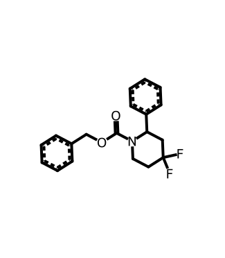 O=C(OCc1ccccc1)N1CCC(F)(F)CC1c1ccccc1